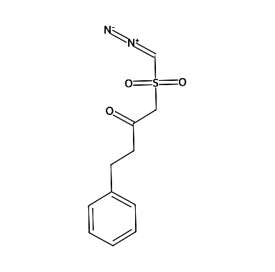 [N-]=[N+]=CS(=O)(=O)CC(=O)CCc1ccccc1